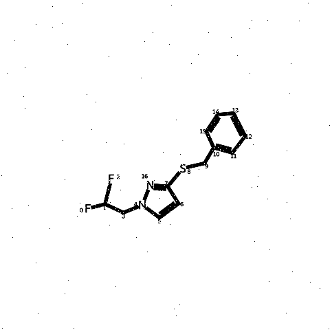 FC(F)Cn1ccc(SCc2ccccc2)n1